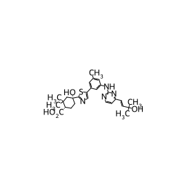 Cc1cc(Nc2nccc(C=CC(C)(C)O)n2)cc(-c2cnc([C@@]3(O)CC[C@H](C(=O)O)C(C)(C)C3)s2)c1